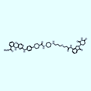 CNC(=O)c1ccccc1Nc1nc(Nc2ccc(N3CCN(C(=O)N[C@H]4CC[C@@H](NCCCOCCC(=O)Nc5cccc6c5CN(C5CCC(=O)NC5=O)C6=O)CC4)CC3)cc2)ncc1Cl